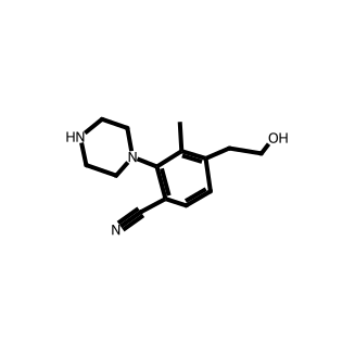 Cc1c(CCO)ccc(C#N)c1N1CCNCC1